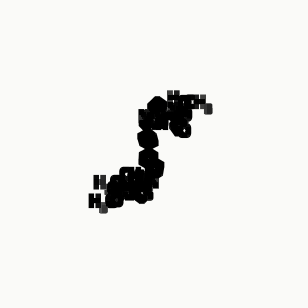 COC(=O)N[C@H](C(=O)C1CCS[C@@H]1c1nc2ccc3cc(-c4ccc(-c5cnc([C@@H]6CCCN6C(=O)[C@@H](NC(=O)OC)C6CCOCC6)[nH]5)cc4)ccc3c2[nH]1)C(C)C